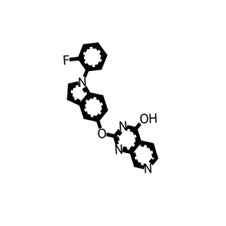 Oc1nc(Oc2ccc3c(ccn3-c3ccccc3F)c2)nc2cnccc12